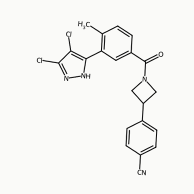 Cc1ccc(C(=O)N2CC(c3ccc(C#N)cc3)C2)cc1-c1[nH]nc(Cl)c1Cl